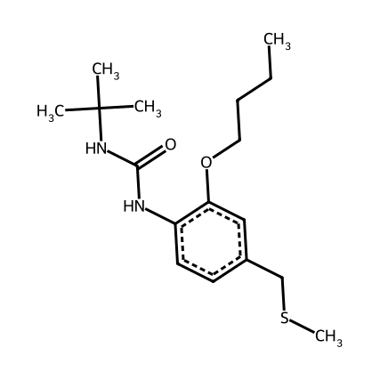 CCCCOc1cc(CSC)ccc1NC(=O)NC(C)(C)C